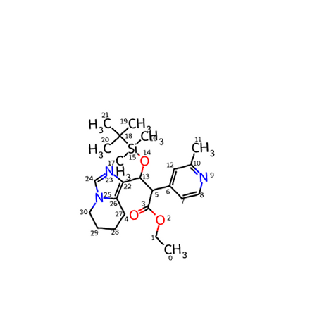 CCOC(=O)C(c1ccnc(C)c1)C(O[Si](C)(C)C(C)(C)C)c1ncn2c1CCCC2